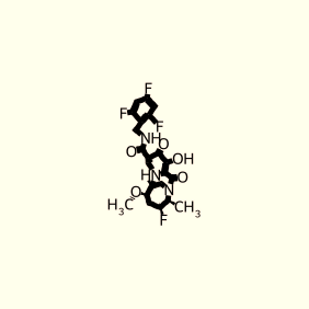 CO[C@@H]1C[C@H](F)[C@H](C)N2C[C@H]1n1cc(C(=O)NCc3c(F)cc(F)cc3F)c(=O)c(O)c1C2=O